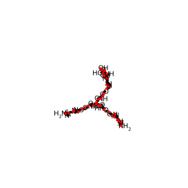 Nc1nnc(CCc2cn(CCOCCOCCNC(=O)CCC(N)(CCC(=O)NCCOCCOCCn3cc(CCc4nnc(N)s4)nn3)CCC(=O)NCCOCCOCCn3cc(CCc4nnc(N[C@H]5CO[C@H](CO)[C@H](O)[C@@H]5O)s4)nn3)nn2)s1